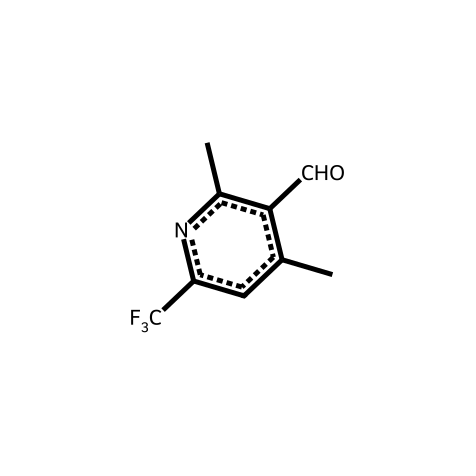 Cc1cc(C(F)(F)F)nc(C)c1C=O